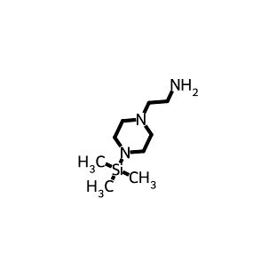 C[Si](C)(C)N1CCN(CCN)CC1